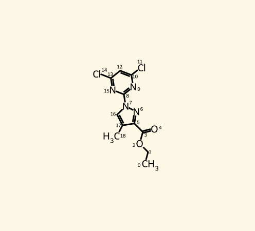 CCOC(=O)c1nn(-c2nc(Cl)cc(Cl)n2)cc1C